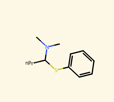 [CH2]CCC(Sc1ccccc1)N(C)C